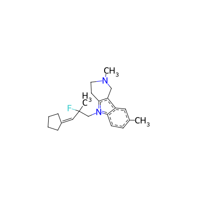 Cc1ccc2c(c1)c1c(n2CC(C)(F)C=C2CCCC2)CCN(C)C1